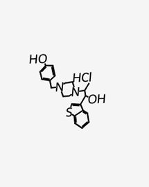 CC(C(O)c1csc2ccccc12)N1CCN(Cc2ccc(O)cc2)CC1.Cl